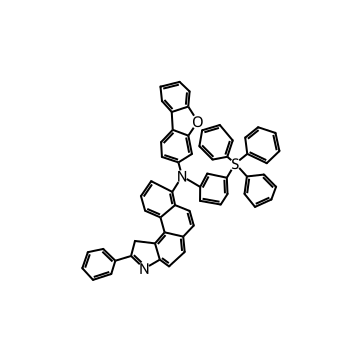 c1ccc(C2=Nc3ccc4ccc5c(N(c6cccc(S(c7ccccc7)(c7ccccc7)c7ccccc7)c6)c6ccc7c(c6)oc6ccccc67)cccc5c4c3C2)cc1